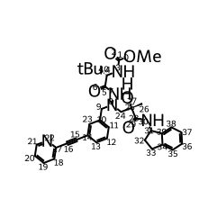 COC(=O)N[C@H](C(=O)NN(Cc1cccc(C#Cc2ccccn2)c1)C[C@](C)(O)C(=O)N[C@@H]1CCc2ccccc21)C(C)(C)C